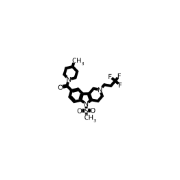 CC1CCN(C(=O)c2ccc3c(c2)c2c(n3S(C)(=O)=O)CCN(CCC(F)(F)F)C2)CC1